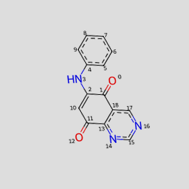 O=C1C(Nc2ccccc2)=CC(=O)c2ncncc21